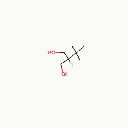 CC(C)(C)C(F)(CO)CO